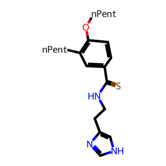 CCCCCOc1ccc(C(=S)NCCc2c[nH]cn2)cc1CCCCC